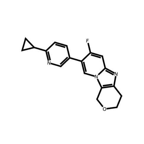 Fc1cc2nc3c(n2cc1-c1ccc(C2CC2)nc1)COCC3